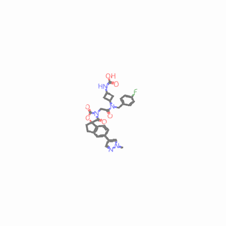 Cn1cc(-c2ccc3c(c2)CCC32OC(=O)N(CC(=O)N(Cc3ccc(F)cc3)C3CC(NC(=O)O)C3)C2=O)cn1